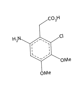 COc1cc(N)c(CC(=O)O)c(Cl)c1OC